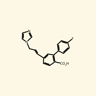 O=C(O)c1ccc(/C=C/Cn2ccnc2)cc1-c1ccc(F)cc1